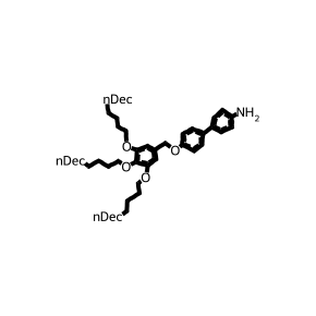 CCCCCCCCCCCCCCOc1cc(COc2ccc(-c3ccc(N)cc3)cc2)cc(OCCCCCCCCCCCCCC)c1OCCCCCCCCCCCCCC